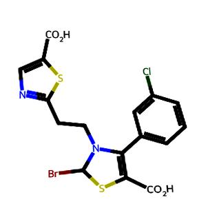 O=C(O)C1=C(c2cccc(Cl)c2)N(CCc2ncc(C(=O)O)s2)C(Br)S1